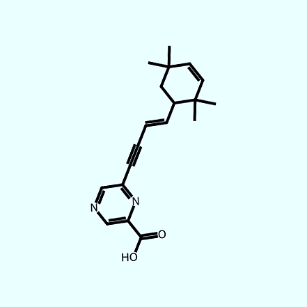 CC1(C)C=CC(C)(C)C(C=CC#Cc2cncc(C(=O)O)n2)C1